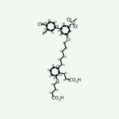 CS(=O)(=O)c1cc(OCCCCCCc2cccc(OCCCC(=O)O)c2CCC(=O)O)cc(-c2ccc(Cl)c(F)c2)c1